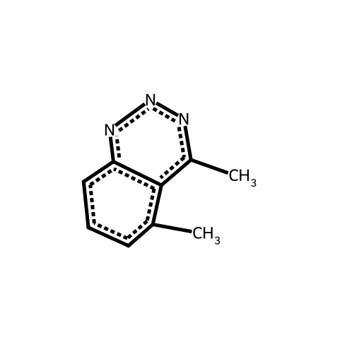 Cc1cccc2nnnc(C)c12